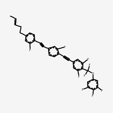 C/C=C/CCc1ccc(C#Cc2ccc(C#Cc3cc(F)c(C(F)(F)Oc4cc(F)c(F)c(F)c4)c(F)c3)c(F)c2)c(F)c1